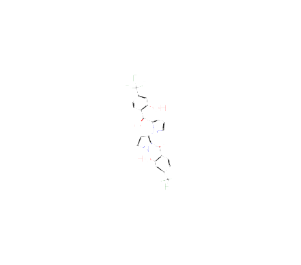 O=C(c1ccc(C(F)(F)F)cc1O)c1[nH]ccc1-n1cccc1C(=O)c1ccc(C(F)(F)F)cc1O